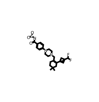 CC1(C)CCC(CN2CCN(c3ccc(C(=O)N=S(=O)=O)cc3)CC2)=C(C23CC(C(F)F)(C2)C3)C1